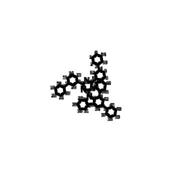 c1ccc(-c2cccc(-c3nc(-c4cccc(-c5ccccc5)c4)nc(-n4c5ccccc5c5cc(-c6ccccc6)cc(-c6ccccc6)c54)n3)c2)cc1